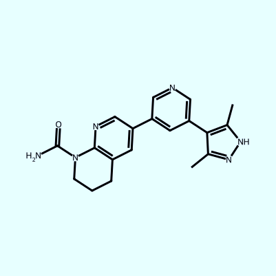 Cc1n[nH]c(C)c1-c1cncc(-c2cnc3c(c2)CCCN3C(N)=O)c1